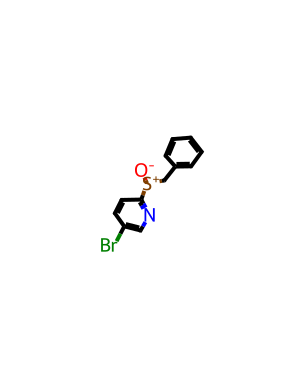 [O-][S+](Cc1ccccc1)c1ccc(Br)cn1